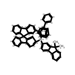 CC1(C)c2ccccc2-c2ccc(N(c3ccc(-c4ccccc4)cc3)c3ccc4c(c3)C3(c5ccccc5-c5ccc(-c6ccccc6)cc53)c3ccccc3-4)cc21